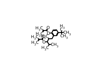 C=C(C)C(=O)Oc1ccc(C(C)(C)C)cc1CC(C)C(OC(=O)C(=C)C)C(C)C